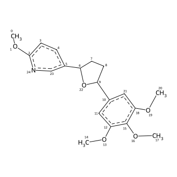 COc1ccc(C2CCC(c3cc(OC)c(OC)c(OC)c3)O2)cn1